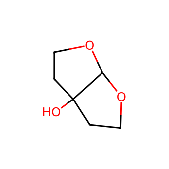 OC12CCOC1OCC2